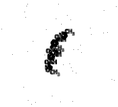 Cc1ccc(NC(=O)c2ccc(CN3C(=O)c4ccc(NC(=O)c5cc(C)on5)cc4NC(=O)C3C)cc2)nc1